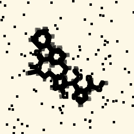 CCCCc1nc(Cl)c(C(OC)c2occc2C(=O)OC)n1Cc1ccc(-c2ccccc2)c(C(=O)OC)c1